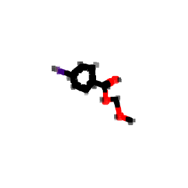 [CH2]OCOC(=O)c1ccc(I)cc1